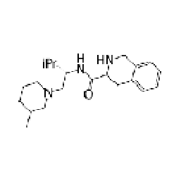 CC1CCCN(C[C@@H](NC(=O)C2Cc3ccccc3CN2)C(C)C)C1